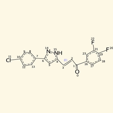 O=C(/C=C/c1cc(-c2ccc(Cl)cc2)n[nH]1)c1ccc(F)c(F)c1